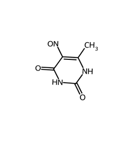 Cc1[nH]c(=O)[nH]c(=O)c1N=O